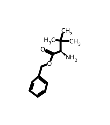 CC(C)(C)[C@@H](N)C(=O)OCc1ccccc1